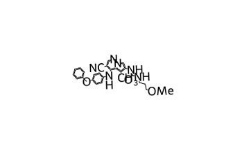 COCCCNC(=O)Nc1cn2ncc(C#N)c(Nc3ccc(Oc4ccccc4)cc3)c2c1C